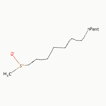 CCCCCCCCCCCC[S+](C)[O-]